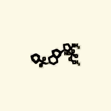 COP(=O)(O)O[C@]1(N)CC[C@H](c2ccc3c(c2)CC[C@H](CS(=O)(=O)c2ccccc2)C3)C1